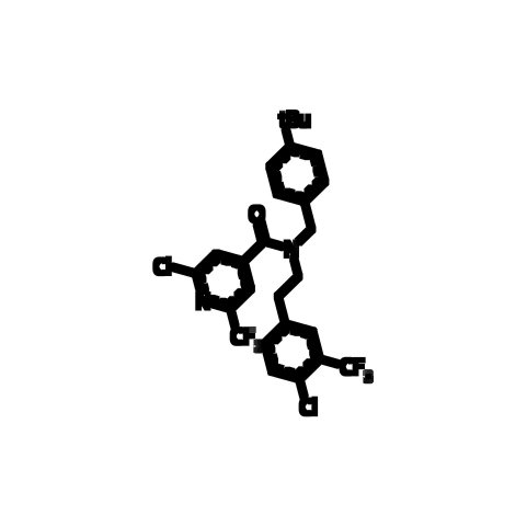 CC(C)(C)c1ccc(CN(CCc2ccc(Cl)c(C(F)(F)F)c2)C(=O)c2cc(Cl)nc(C(F)(F)F)c2)cc1